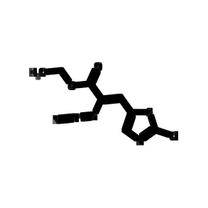 CCOC(=O)/C(=C/c1cnc(Cl)s1)N=[N+]=[N-]